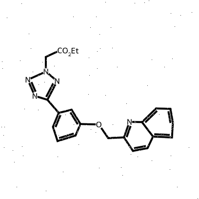 CCOC(=O)Cn1nnc(-c2cccc(OCc3ccc4ccccc4n3)c2)n1